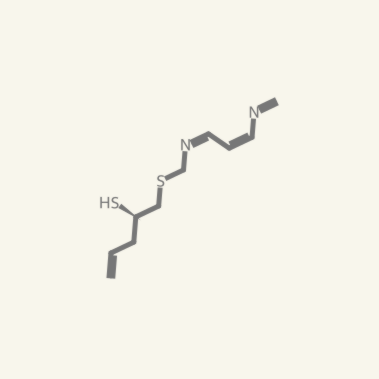 C=CC[C@@H](S)CSC/N=C\C=C/N=C